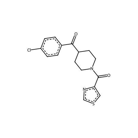 O=C(c1ccc(Cl)cc1)C1CCN(C(=O)c2cscn2)CC1